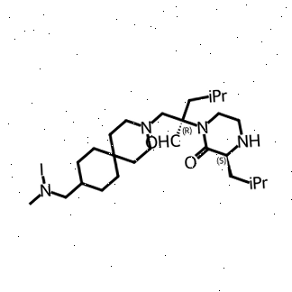 CC(C)C[C@@H]1NCCN([C@](C=O)(CC(C)C)CN2CCC3(CCC(CN(C)I)CC3)CC2)C1=O